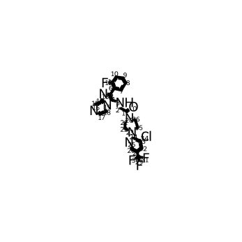 O=C(CNc1c(-c2ccccc2F)nc2cnccn12)N1CCN(c2ncc(C(F)(F)F)cc2Cl)CC1